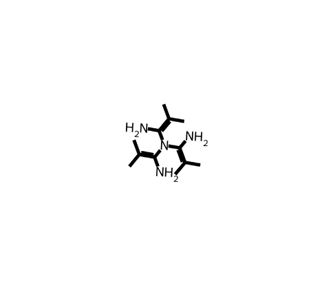 CC(C)=C(N)N(C(N)=C(C)C)C(N)=C(C)C